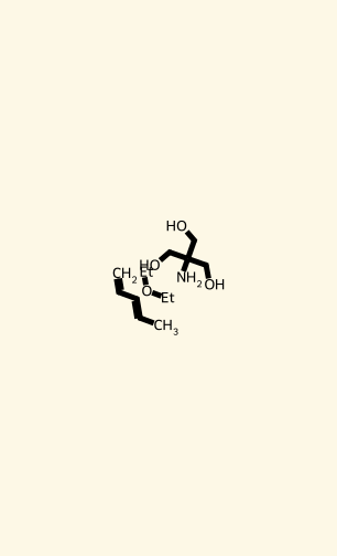 C=C/C=C/C.CCOCC.NC(CO)(CO)CO